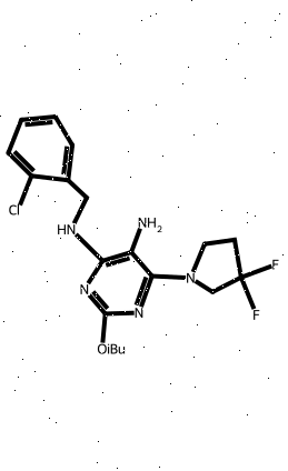 CC(C)COc1nc(NCc2ccccc2Cl)c(N)c(N2CCC(F)(F)C2)n1